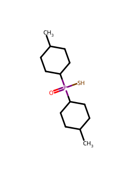 CC1CCC(P(=O)(S)C2CCC(C)CC2)CC1